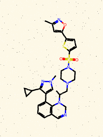 Cc1cc(-c2ccc(S(=O)(=O)N3CCN(CC(C)N4CN=Cc5cccc(-c6cn(C)nc6C6CC6)c54)CC3)s2)on1